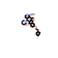 COC(=O)c1coc2c1c(C(c1ccncc1)N1CCCCC1)c(O)c1ccc(OCCc3ccc(F)cc3)cc12